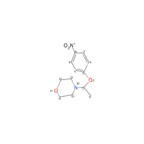 CC(Oc1ccc([N+](=O)[O-])cc1)N1CCOCC1